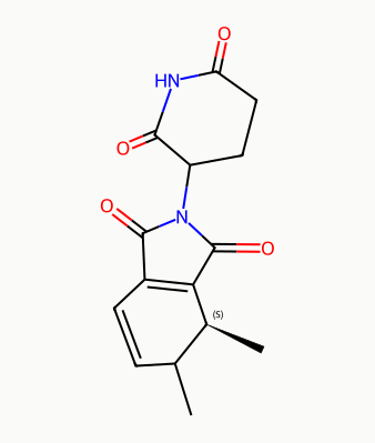 CC1C=CC2=C(C(=O)N(C3CCC(=O)NC3=O)C2=O)[C@H]1C